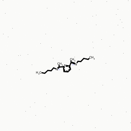 CCCCC/N=C(\C)c1cccc(/C(C)=N/CCCCC)n1